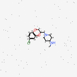 CNC1CCN(CC2COc3ccc(Cl)cc3O2)CC1